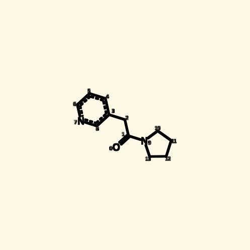 O=C(Cc1cccnc1)N1CCCC1